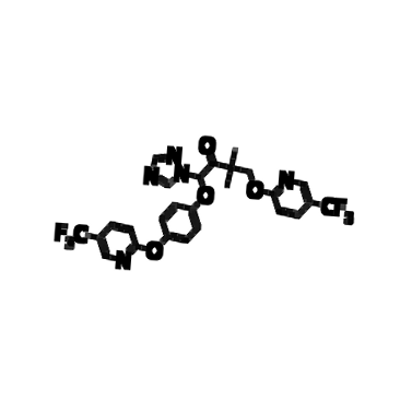 CC(C)(COc1ccc(C(F)(F)F)cn1)C(=O)C(Oc1ccc(Oc2ccc(C(F)(F)F)cn2)cc1)n1cncn1